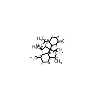 C=CCC(C=C)(C1CC(C)CCC1C(C)C)C1CC(C)CCC1C(C)C